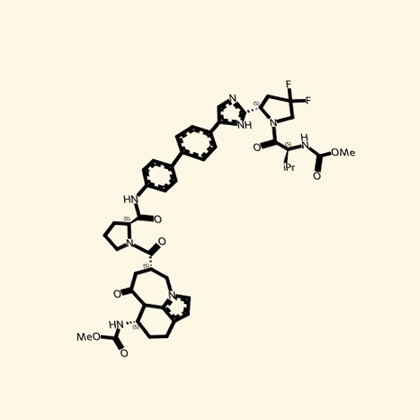 COC(=O)N[C@H]1CCc2ccn3c2C1C(=O)C[C@H](C(=O)N1CCC[C@H]1C(=O)Nc1ccc(-c2ccc(-c4cnc([C@@H]5CC(F)(F)CN5C(=O)[C@@H](NC(=O)OC)C(C)C)[nH]4)cc2)cc1)C3